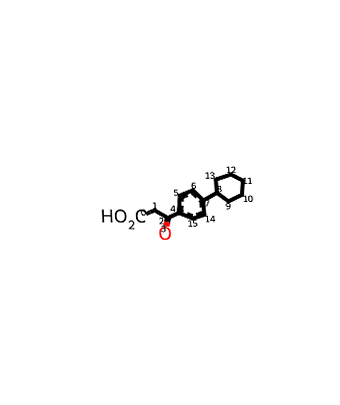 O=C(O)CC(=O)c1ccc(C2CCCCC2)cc1